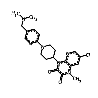 CN(C)Cc1ccc(N2CCC(n3c(=O)c(=O)n(C)c4cc(Cl)cnc43)CC2)nc1